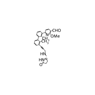 COc1nc(-c2cccc(-c3cccc(C#CCNC[C@@H]4CCC(=O)N4)c3C)c2C)ccc1C=O